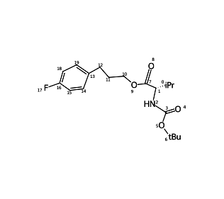 CC(C)[C@H](NC(=O)OC(C)(C)C)C(=O)OCCCc1ccc(F)cc1